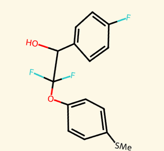 CSc1ccc(OC(F)(F)C(O)c2ccc(F)cc2)cc1